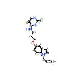 O=C(O)Cn1ccc2cc(OCCCNc3nc(Cl)ncc3F)ccc21